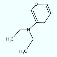 CCN(CC)C1=[C]OC=CC1